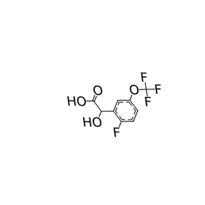 O=C(O)C(O)c1cc(OC(F)(F)F)ccc1F